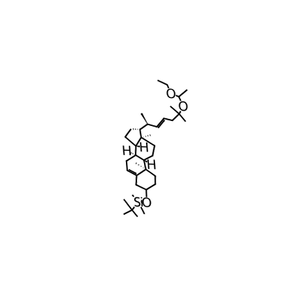 CCOC(C)OC(C)(C)C/C=C/[C@H](C)[C@H]1CC[C@H]2[C@@H]3CC=C4CC(O[Si](C)(C)C(C)(C)C)CC[C@]4(C)[C@H]3CC[C@]12C